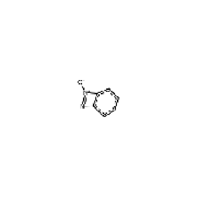 [O-][N+]1=Nc2ccccc21